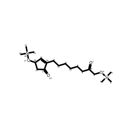 C[Si](C)(C)OCC(=O)CCCCCCC1=CC(O[Si](C)(C)C)CC1=O